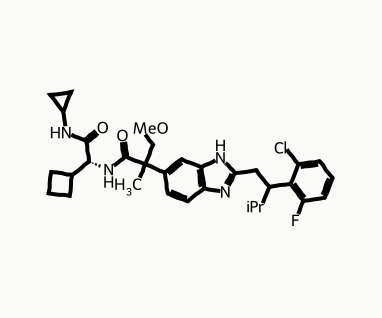 COCC(C)(C(=O)N[C@@H](C(=O)NC1CC1)C1CCC1)c1ccc2nc(CC(c3c(F)cccc3Cl)C(C)C)[nH]c2c1